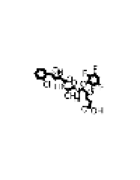 C[C@H](NC(=O)c1cc(-c2ccccc2Cl)on1)C(=O)NC(Oc1c(F)c(F)cc(F)c1F)C(=O)CCC(=O)O